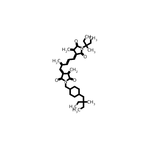 C=C(/C=C/C=C1\C(=C)C(=O)N(C(C)(CC)CC)C1=O)/C=C1\C(=C)C(=O)N(CC2CCC(CC(C)(CC)CC)CC2)C1=O